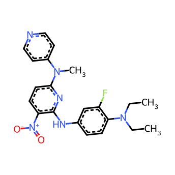 CCN(CC)c1ccc(Nc2nc(N(C)c3ccncc3)ccc2[N+](=O)[O-])cc1F